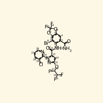 NC(=O)c1cc2c(c(Br)c1NC(=O)c1cc(OC(F)C(F)F)nn1-c1ncccc1Cl)OC(F)(F)O2